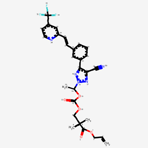 C=CCOC(=O)C(C)(C)COC(=O)OC(C)n1nc(C#N)c(-c2cccc(/C=C/c3cc(C(F)(F)F)ccn3)c2)n1